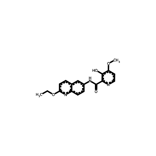 CCOc1ccc2cc(NC(=O)c3nccc(OC)c3O)ccc2n1